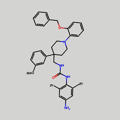 COc1cccc(C2(CNC(=O)Nc3c(C(C)C)cc(N)cc3C(C)C)CCN(c3ccccc3OCc3ccccc3)CC2)c1